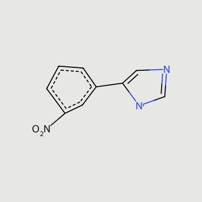 O=[N+]([O-])c1cccc(C2=CN=C[N]2)c1